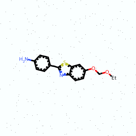 CCOCOc1ccc2nc(-c3ccc(N)cc3)sc2c1